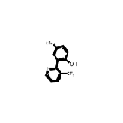 CC(C)(C)c1ccc(O)c(-c2ncccc2C(F)(F)F)c1